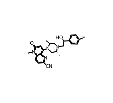 C[C@@H]1CN(c2cc(=O)n(C)c3ccc(C#N)nc23)[C@@H](C)CN1CC(O)c1ccc(F)cc1